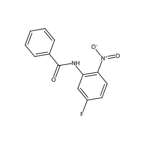 O=C(Nc1cc(F)ccc1[N+](=O)[O-])c1ccccc1